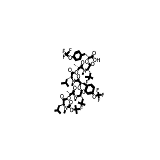 CC(C)C[C@H](C(=O)O[C@H](C)C(=O)N(C)[C@@H](CC(C)(C)F)C(=O)O[C@H](Cc1ccc(OC(F)(F)F)cc1)C(=O)O)N(C)C(=O)[C@@H](Cc1ccc(OC(F)(F)F)cc1)OC(=O)[C@H](CC(C)(C)F)N(C)C(=O)[C@@H](C)OC(=O)[C@H](CC(C)C)N(C)C(=O)OC(C)(C)C